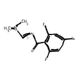 CN(C)/C=N/C(=O)c1c(F)cc(Br)cc1F